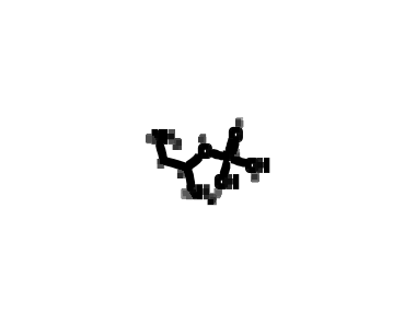 NCC(N)OP(=O)(O)O